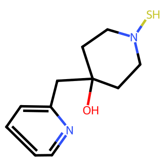 OC1(Cc2ccccn2)CCN(S)CC1